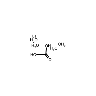 O.O.O.O.O=C(O)O.[La]